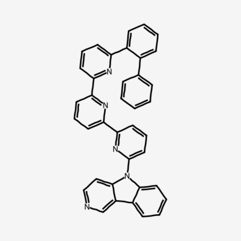 c1ccc(-c2ccccc2-c2cccc(-c3cccc(-c4cccc(-n5c6ccccc6c6cnccc65)n4)n3)n2)cc1